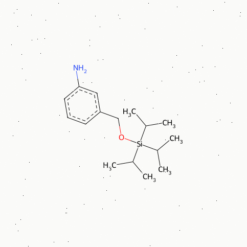 CC(C)[Si](OCc1cccc(N)c1)(C(C)C)C(C)C